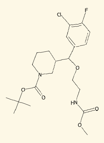 COC(=O)NCCOC(c1ccc(F)c(Cl)c1)C1CCCN(C(=O)OC(C)(C)C)C1